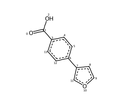 O=C(O)c1ccc(-c2ccoc2)cc1